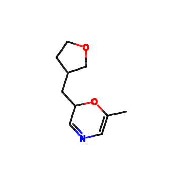 CC1=CN=CC(CC2CCOC2)O1